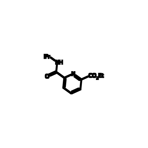 CCOC(=O)c1cccc(C(=O)NC(C)C)n1